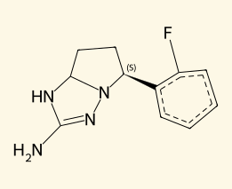 NC1=NN2C(CC[C@H]2c2ccccc2F)N1